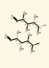 C[C@@H](O)[C@H](O)[C@H](O)[C@@H](O)C=O.C[C@H](O)[C@@H](O)[C@@H](O)[C@H](O)C=O